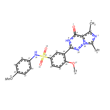 CCCc1nc(C)c2c(=O)[nH]c(-c3cc(S(=O)(=O)Nc4ccc(OC)cc4)ccc3OCC)nn12